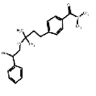 CN(C)C(=O)c1ccc(CCC(C)(C)NCC(O)c2ccccc2)cc1